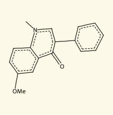 COc1ccc2c(c1)c(=O)c(-c1ccccc1)cn2C